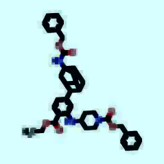 CCOC(=O)c1ccc(C2C3CC4CC2CC(NC(=O)OCc2ccccc2)(C4)C3)cc1NC1CCN(C(=O)OCc2ccccc2)CC1